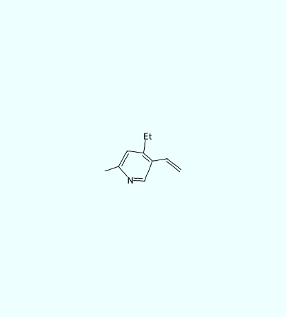 C=Cc1cnc(C)cc1CC